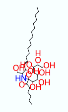 CCCCCCCCCCCCCC=CC(O)C(CO)NC1(C(=O)CCCCC)O[C@H]([C@@H](O)[C@H](O)CO)[C@@H](O)[C@H](O)[C@H]1O